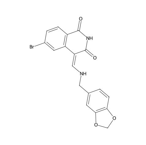 O=C1NC(=O)c2ccc(Br)cc2/C1=C/NCc1ccc2c(c1)OCO2